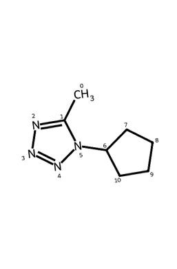 Cc1nnnn1C1CCCC1